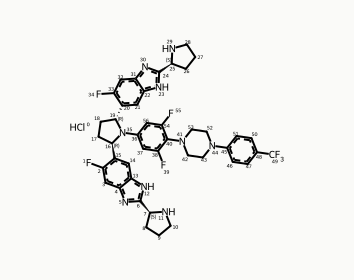 Cl.Fc1cc2nc([C@@H]3CCCN3)[nH]c2cc1[C@H]1CC[C@H](c2cc3[nH]c([C@@H]4CCCN4)nc3cc2F)N1c1cc(F)c(N2CCN(c3ccc(C(F)(F)F)cc3)CC2)c(F)c1